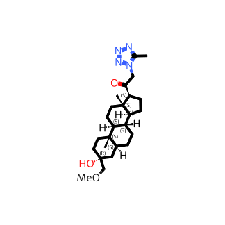 COC[C@@]1(O)CC[C@@]2(C)[C@@H](CC[C@@H]3[C@@H]2CC[C@]2(C)[C@@H](C(=O)Cn4nnnc4C)CC[C@@H]32)C1